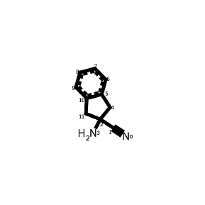 N#CC1(N)Cc2ccccc2C1